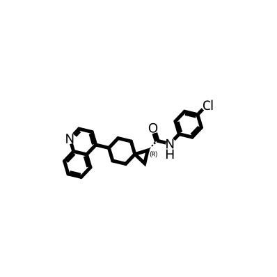 O=C(Nc1ccc(Cl)cc1)[C@@H]1CC12CCC(c1ccnc3ccccc13)CC2